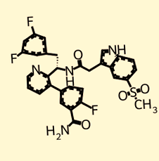 CS(=O)(=O)c1ccc2[nH]cc(CC(=O)N[C@@H](Cc3cc(F)cc(F)c3)c3ncccc3-c3ccc(F)c(C(N)=O)c3)c2c1